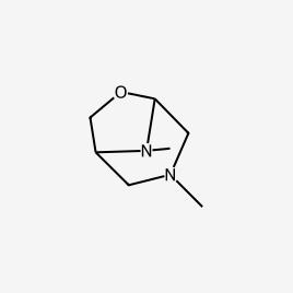 CN1CC2COC(C1)N2C